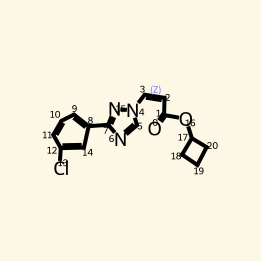 O=C(/C=C\n1cnc(-c2cccc(Cl)c2)n1)OC1CCC1